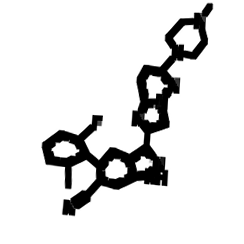 Cc1cccc(F)c1-c1cc2c(-c3cn4nc(N5CCN(C)CC5)ccc4n3)n[nH]c2cc1C#N